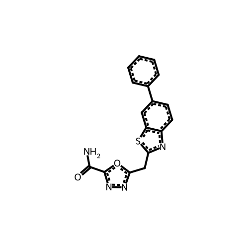 NC(=O)c1nnc(Cc2nc3ccc(-c4ccccc4)cc3s2)o1